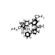 Cc1cc(Nc2ncn(-c3ccccc3)n2)cc(N2CCNC(C(C)(O)C(C)C)C2)n1